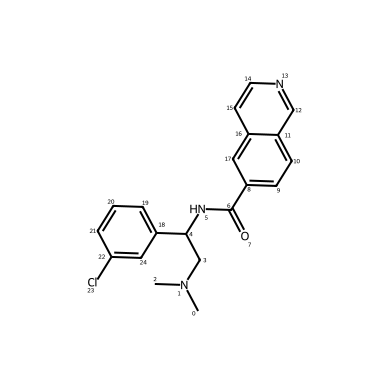 CN(C)CC(NC(=O)c1ccc2cnccc2c1)c1cccc(Cl)c1